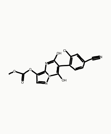 COC(=O)Oc1cnn2c(O)c(-c3ccc(C#N)cc3Cl)c(O)nc12